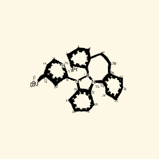 CC(C)c1cccc2c1B1N(c3cc(C(C)(C)C)ccn3)c3ccccc3N1c1ccccc1CC2